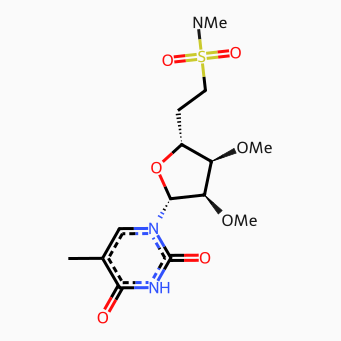 CNS(=O)(=O)CC[C@H]1O[C@@H](n2cc(C)c(=O)[nH]c2=O)[C@H](OC)[C@@H]1OC